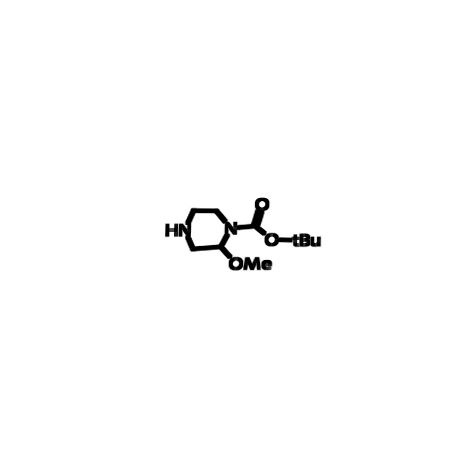 COC1CNCCN1C(=O)OC(C)(C)C